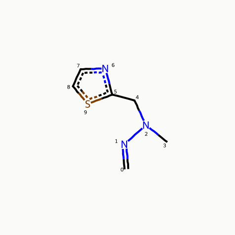 C=NN(C)Cc1nccs1